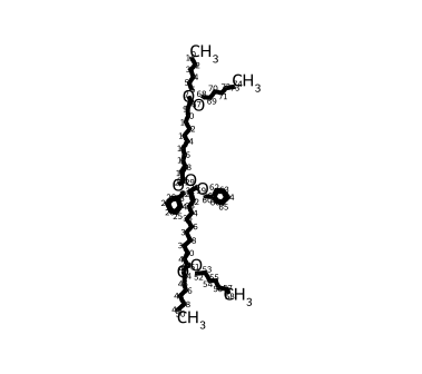 CCCCCCCOC(CCCCCCCCCC=CC(OCc1ccccc1)OC(C=CCCCCCCCCCC(OCCCCCCC)OCCCCCCC)OCc1ccccc1)OCCCCCCC